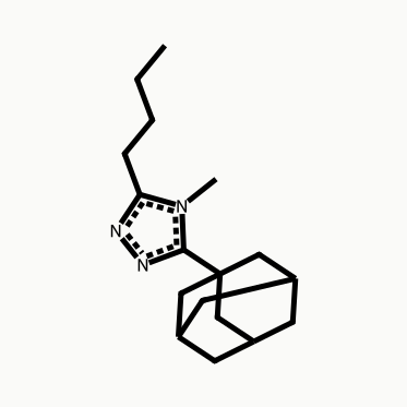 CCCCc1nnc(C23CC4CC(CC(C4)C2)C3)n1C